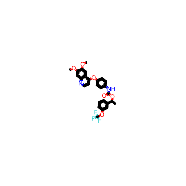 COc1cc2nccc(Oc3ccc(NC(=O)OC(C)c4cccc(OC(F)(F)F)c4)cc3)c2cc1OC